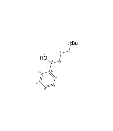 CC(C)(C)CCCC(O)c1cc[c]cc1